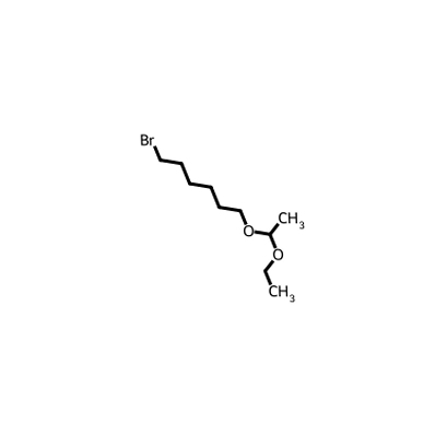 CCOC(C)OCCCCCCBr